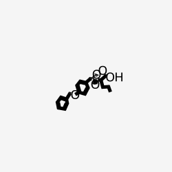 CCCC(C(=O)O)S(=O)(=O)Cc1ccc(OCc2ccccc2)cc1